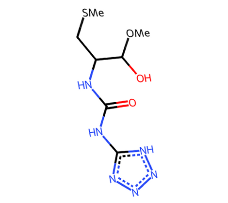 COC(O)C(CSC)NC(=O)Nc1nnn[nH]1